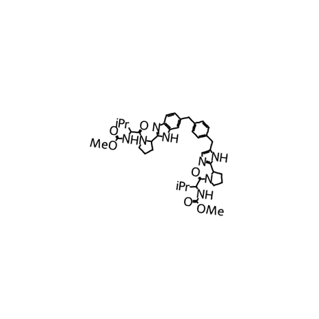 COC(=O)NC(C(=O)N1CCCC1c1ncc(Cc2ccc(Cc3ccc4nc(C5CCCN5C(=O)C(NC(=O)OC)C(C)C)[nH]c4c3)cc2)[nH]1)C(C)C